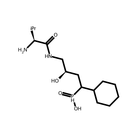 CC(C)[C@H](N)C(=O)NC[C@H](O)CC(C1CCCCC1)[PH](=O)O